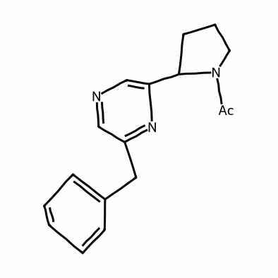 CC(=O)N1CCCC1c1cncc(Cc2ccccc2)n1